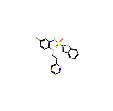 O=S(=O)(Nc1cc(Cl)ccc1SCCc1ccccn1)c1cc2ccccc2o1